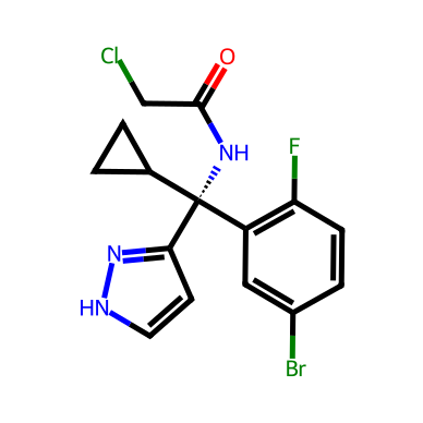 O=C(CCl)N[C@@](c1cc[nH]n1)(c1cc(Br)ccc1F)C1CC1